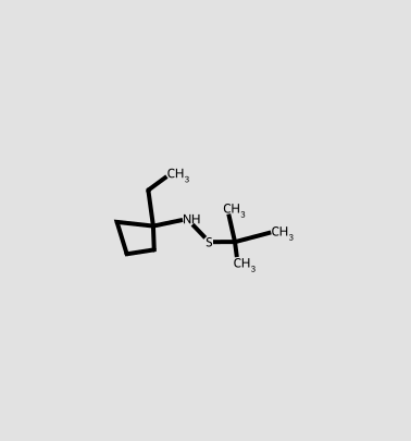 CCC1(NSC(C)(C)C)CCC1